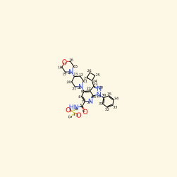 CS(=O)(=O)NC(=O)c1cc(N2CCC(N3CCOCC3)CC2)c2c(C3CCC3)nn(-c3ccccc3)c2n1